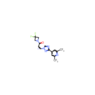 O=C(/C=C\n1cnc(-c2cc(C(F)(F)F)nc(C(F)(F)F)c2)n1)N1CC(F)(F)C1